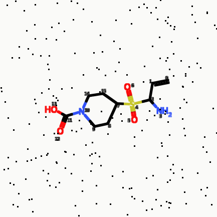 C=CC(N)S(=O)(=O)C1CCN(C(=O)O)CC1